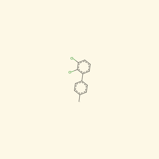 [CH2]c1ccc(-c2cccc(Cl)c2Cl)cc1